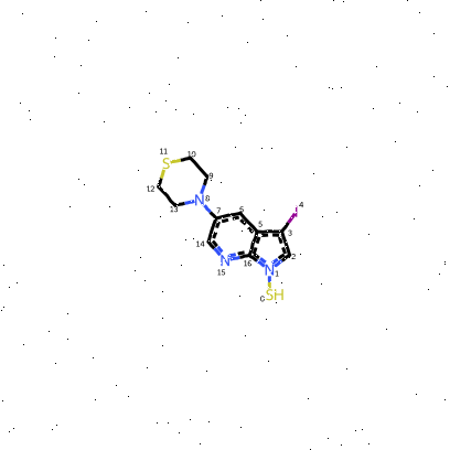 Sn1cc(I)c2cc(N3CCSCC3)cnc21